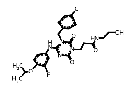 CC(C)Oc1ccc(Nc2nc(=O)n(CCC(=O)NCCO)c(=O)n2Cc2ccc(Cl)cc2)cc1F